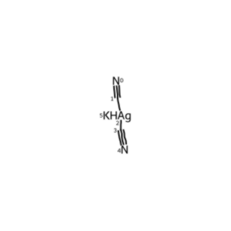 N#[C][Ag][C]#N.[KH]